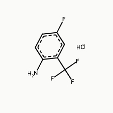 Cl.Nc1ccc(F)cc1C(F)(F)F